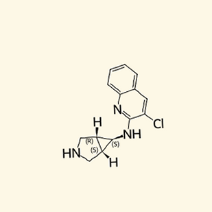 Clc1cc2ccccc2nc1N[C@H]1[C@@H]2CNC[C@@H]21